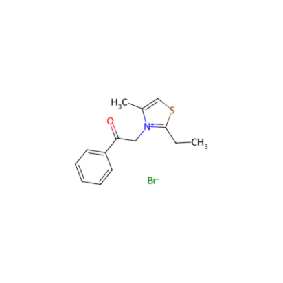 CCc1scc(C)[n+]1CC(=O)c1ccccc1.[Br-]